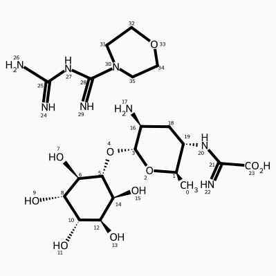 C[C@H]1O[C@H](O[C@H]2[C@H](O)[C@@H](O)[C@@H](O)[C@H](O)[C@@H]2O)[C@@H](N)C[C@@H]1NC(=N)C(=O)O.N=C(N)NC(=N)N1CCOCC1